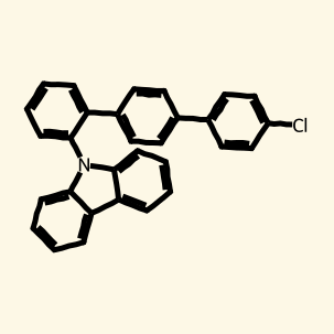 Clc1ccc(-c2ccc(-c3ccccc3-n3c4ccccc4c4ccccc43)cc2)cc1